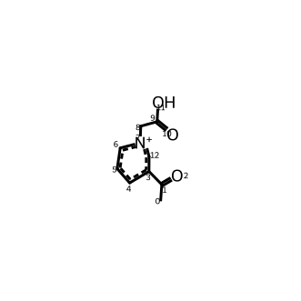 CC(=O)c1ccc[n+](CC(=O)O)c1